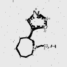 O=C(O)N1CCCCC1c1cnno1